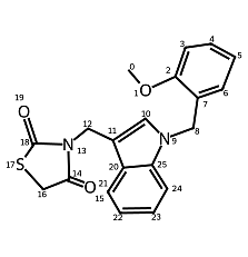 COc1ccccc1Cn1cc(CN2C(=O)CSC2=O)c2ccccc21